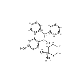 CC(c1ccc(O)cc1)P(c1ccccc1)c1ccccc1.NC1(N)CCCCC1